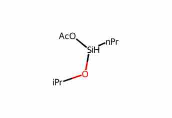 CCC[SiH](OC(C)=O)OC(C)C